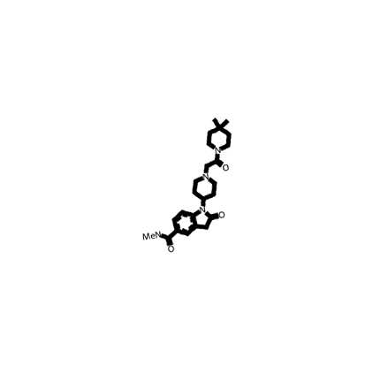 CNC(=O)c1ccc2c(c1)CC(=O)N2C1CCN(CC(=O)N2CCC(C)(C)CC2)CC1